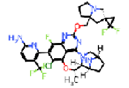 C[C@@H]1Oc2c(Cl)c(-c3nc(N)ccc3C(F)(F)F)c(F)c3nc(OC[C@@]45CCCN4C[C@@]4(CC4(F)F)C5)nc(c23)N2C[C@H]3CC[C@H](N3)[C@@H]12